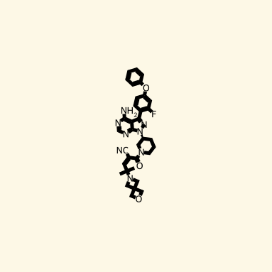 CC(C)(/C=C(/C#N)C(=O)N1CCC[C@H](n2nc(-c3ccc(Oc4ccccc4)cc3F)c3c(N)ncnc32)C1)N1CC2(COC2)C1